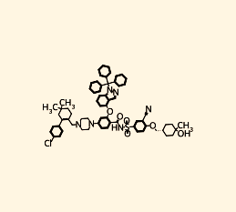 CC1(C)CCC(CN2CCN(c3ccc(C(=O)NS(=O)(=O)c4ccc(OC[C@H]5CC[C@@](C)(O)CC5)c(C#N)c4)c(Oc4cccc5c4cnn5C(c4ccccc4)(c4ccccc4)c4ccccc4)c3)CC2)=C(c2ccc(Cl)cc2)C1